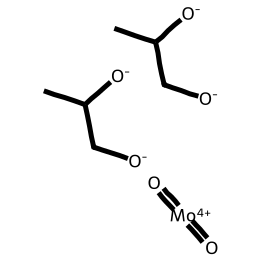 CC([O-])C[O-].CC([O-])C[O-].[O]=[Mo+4]=[O]